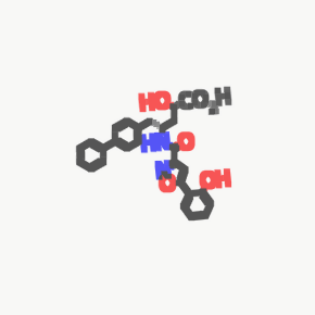 O=C(N[C@H](Cc1ccc(-c2ccccc2)cc1)C[C@@H](O)C(=O)O)c1cc(-c2ccccc2O)on1